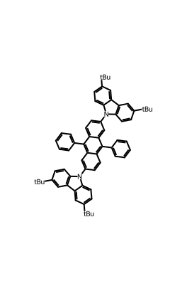 CC(C)(C)c1ccc2c(c1)c1cc(C(C)(C)C)ccc1n2-c1ccc2c(-c3ccccc3)c3cc(-n4c5ccc(C(C)(C)C)cc5c5cc(C(C)(C)C)ccc54)ccc3c(-c3ccccc3)c2c1